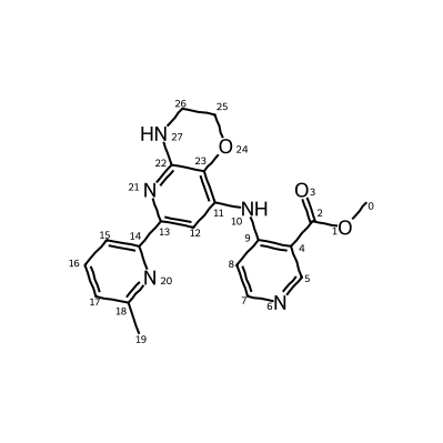 COC(=O)c1cnccc1Nc1cc(-c2cccc(C)n2)nc2c1OCCN2